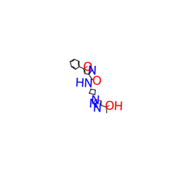 CC(O)c1cn([C@H]2C[C@@H](NC(=O)c3cc(-c4ccccc4)on3)C2)nn1